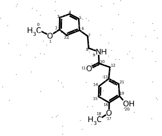 COc1cccc(CCNC(=O)Cc2ccc(OC)c(O)c2)c1